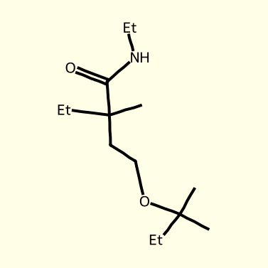 CCNC(=O)C(C)(CC)CCOC(C)(C)CC